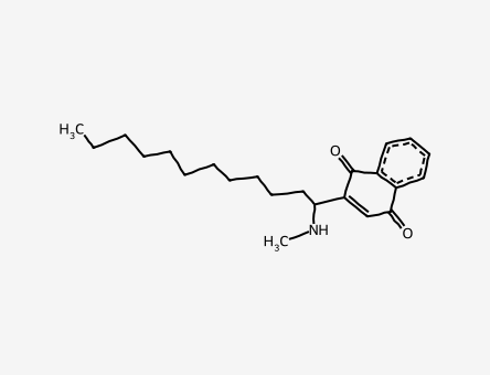 CCCCCCCCCCCC(NC)C1=CC(=O)c2ccccc2C1=O